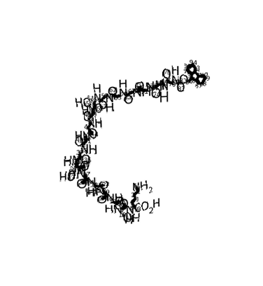 NCCCC[C@H](NC(=O)[C@H](CO)NC(=O)CNC(=O)CNC(=O)CNC(=O)CNC(=O)[C@H](CO)NC(=O)CNC(=O)CNC(=O)CNC(=O)CNC(=O)[C@H](CO)NC(=O)CNC(=O)CNC(=O)CNC(=O)CNC(=O)CNC(=O)CNC(=O)OCC1c2ccccc2-c2ccccc21)C(=O)O